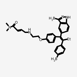 Bc1ccc(/C(CC)=C(\c2ccc(OCCNC/C=C/C(=O)N(C)C)cc2)c2ccc3[nH]nc(B)c3c2)cc1